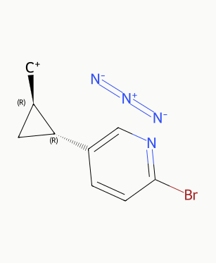 [CH2+][C@@H]1C[C@H]1c1ccc(Br)nc1.[N-]=[N+]=[N-]